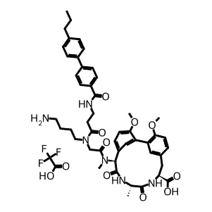 CCCc1ccc(-c2ccc(C(=O)NCCC(=O)N(CCCCN)CC(=O)N(C)[C@@H]3C(=O)N[C@@H](C)C(=O)N[C@H](C(=O)O)Cc4ccc(OC)c(c4)-c4cc3ccc4OC)cc2)cc1.O=C(O)C(F)(F)F